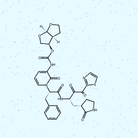 O=C(Nc1cccn([C@@H](Cc2ccccc2)C(=O)N[C@@H](C[C@@H]2CCNC2=O)C(=O)C(=O)c2nccs2)c1=O)O[C@H]1CO[C@H]2OCC[C@H]21